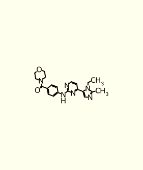 CCn1c(-c2ccnc(Nc3ccc(C(=O)N4CCOCC4)cc3)n2)cnc1C